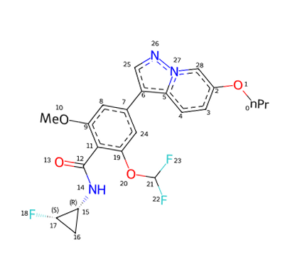 CCCOc1ccc2c(-c3cc(OC)c(C(=O)N[C@@H]4C[C@@H]4F)c(OC(F)F)c3)cnn2c1